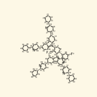 Fc1cc(F)cc(-c2ccc(-n3c4ccc(-c5ccc(-c6ccccc6)nc5)cc4c4cc(-c5ccc(-c6ccccc6)nc5)ccc43)c(C(F)(F)F)c2-n2c3ccc(-c4ccc(-c5ccccc5)nc4)cc3c3cc(-c4ccc(-c5ccccc5)nc4)ccc32)c1